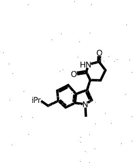 CC(C)Cc1ccc2c(C3CCC(=O)NC3=O)cn(C)c2c1